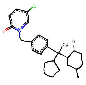 CC(C)[C@@H]1CC[C@@H](C)C[C@H]1C(C(=O)O)(c1ccc(Cn2cc(Cl)ccc2=O)cc1)C1CCCC1